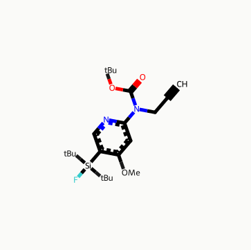 C#CCN(C(=O)OC(C)(C)C)c1cc(OC)c([Si](F)(C(C)(C)C)C(C)(C)C)cn1